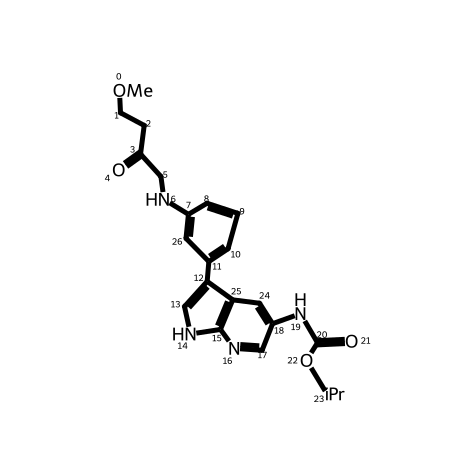 COCCC(=O)CNc1cccc(-c2c[nH]c3ncc(NC(=O)OC(C)C)cc23)c1